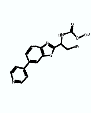 CC(C)CC(NC(=O)OC(C)(C)C)c1nc2ccc(-c3ccncc3)cc2s1